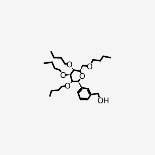 CCCCOC[C@H]1O[C@@H](c2cccc(CO)c2)[C@H](OCCCC)[C@@H](OCCCC)[C@@H]1OCCCC